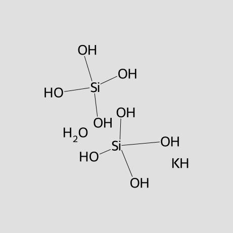 O.O[Si](O)(O)O.O[Si](O)(O)O.[KH]